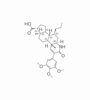 CCC[C@H]1C[C@H]2NC(=O)C(c3cc(OC)c(OC)c(OC)c3)=C[C@]2(C)[C@H]2CC[C@]3(C)[C@@H](C(=O)O)CC[C@H]3[C@H]12